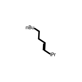 [CH2]CCCCCC=CC(C)C